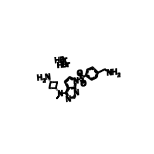 Br.Br.CN(c1ncnc2c1ccn2S(=O)(=O)c1ccc(CN)cc1)[C@H]1C[C@@H](N)C1